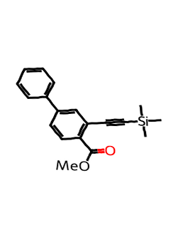 COC(=O)c1ccc(-c2ccccc2)cc1C#C[Si](C)(C)C